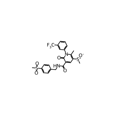 Cc1c([S+](C)[O-])cc(C(=O)NCc2ccc(S(C)(=O)=O)cc2)c(=O)n1-c1cccc(C(F)(F)F)c1